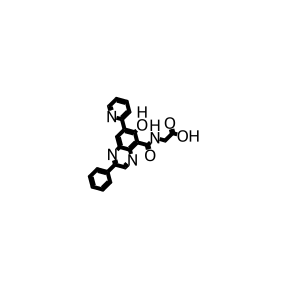 O=C(O)CNC(=O)c1c(O)c(-c2ccccn2)cc2nc(-c3ccccc3)cnc12